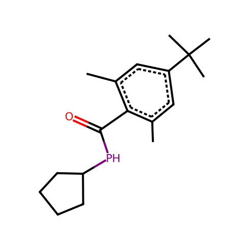 Cc1cc(C(C)(C)C)cc(C)c1C(=O)PC1CCCC1